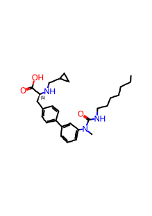 CCCCCCCNC(=O)N(C)c1cccc(-c2ccc(C[C@H](NCC3CC3)C(=O)O)cc2)c1